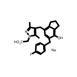 Cc1nn(CC(=O)O)c(C)c1Cc1cc(Cc2ccc(F)cc2)c(O)c2c1CCC2.[Na]